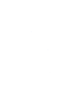 CCCN1CCC2(CC1)CCN(CCC(C)C)CC2